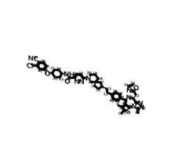 Cc1sc2c(c1C)C(c1ccc(CC[C@H]3CC[C@@]4(CCCN(c5ccc(C(=O)N[C@H]6CC[C@H](Oc7ccc(C#N)c(Cl)c7)CC6)nn5)C4)C3)cc1)=N[C@H](Cc1ncco1)c1nnc(C)n1-2